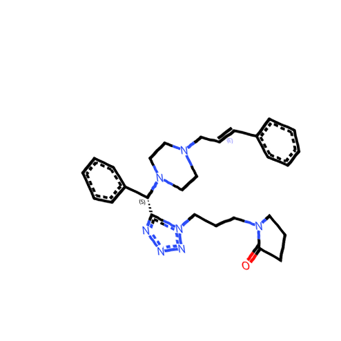 O=C1CCCN1CCCn1nnnc1[C@H](c1ccccc1)N1CCN(C/C=C/c2ccccc2)CC1